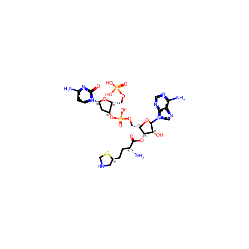 Nc1ccn([C@H]2C[C@H](OP(=O)(O)OC[C@@H]3OC(n4cnc5c(N)ncnc54)[C@H](O)[C@@H]3OC(=O)[C@H](N)CC[C@H]3CNCS3)[C@@H](COP(=O)(O)O)O2)c(=O)n1